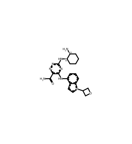 NC(=O)c1nnc(N[C@@H]2CCCC[C@@H]2N)nc1Nc1cccc2c1ccn2C1COC1